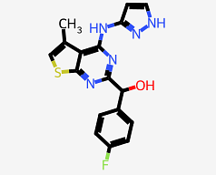 Cc1csc2nc(C(O)c3ccc(F)cc3)nc(Nc3cc[nH]n3)c12